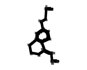 COCOc1ccc2c(c1)CCC/C2=N\OC